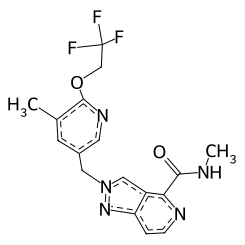 CNC(=O)c1nccc2nn(Cc3cnc(OCC(F)(F)F)c(C)c3)cc12